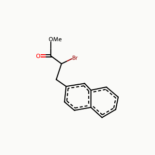 COC(=O)C(Br)Cc1ccc2ccccc2c1